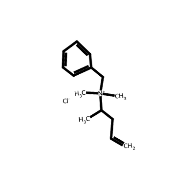 C=CCC(C)[N+](C)(C)Cc1ccccc1.[Cl-]